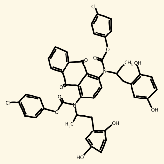 CC(Cc1cc(O)ccc1O)N(C(=O)Oc1ccc(Cl)cc1)c1ccc(N(C(=O)Oc2ccc(Cl)cc2)C(C)Cc2cc(O)ccc2O)c2c1C(=O)c1ccccc1C2=O